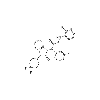 O=C1C(N(C(=O)CNc2cccnc2F)c2cccc(F)c2)c2ccccc2N1C1CCC(F)(F)CC1